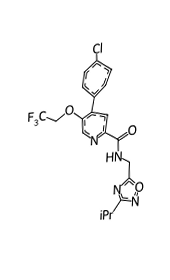 CC(C)c1noc(CNC(=O)c2cc(-c3ccc(Cl)cc3)c(OCC(F)(F)F)cn2)n1